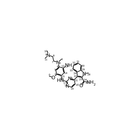 COc1cc(N(C)CCN(C)C)c(N)cc1Nc1nccc(-c2c(C(N)=O)n(C)c3ccccc23)n1